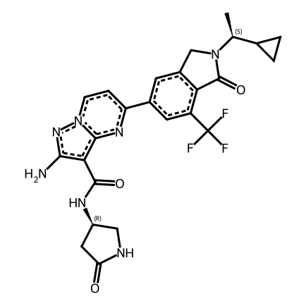 C[C@@H](C1CC1)N1Cc2cc(-c3ccn4nc(N)c(C(=O)N[C@H]5CNC(=O)C5)c4n3)cc(C(F)(F)F)c2C1=O